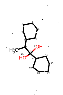 CC(C1CCCCC1)C(O)(O)C1CCCCC1